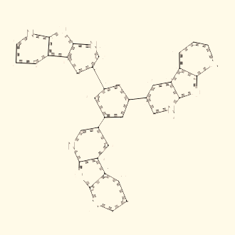 c1cnc2oc3ncc(-c4cc(-c5cnc6oc7ncccc7c6c5)cc(-c5cnc6oc7ncccc7c6c5)c4)cc3c2c1